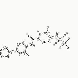 Cc1cc(-c2ncco2)ccc1NC(=O)c1ccc(NS(=O)(=O)C(C)(C)C)c(C)c1